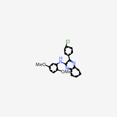 COc1ccc(OC)c(Nc2nc3ccccc3nc2-c2ccc(Cl)cc2)c1